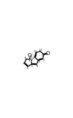 O=C1C=C2C=C3C=CC[N+]3([O-])C2=CC1